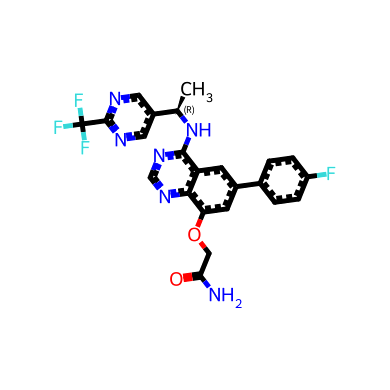 C[C@@H](Nc1ncnc2c(OCC(N)=O)cc(-c3ccc(F)cc3)cc12)c1cnc(C(F)(F)F)nc1